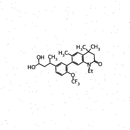 CCN1C(=O)CC(C)(C)c2cc(C)c(-c3cc(C(C)CC(O)O)ccc3OC(F)(F)F)cc21